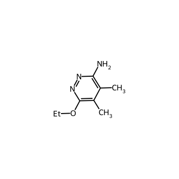 CCOc1nnc(N)c(C)c1C